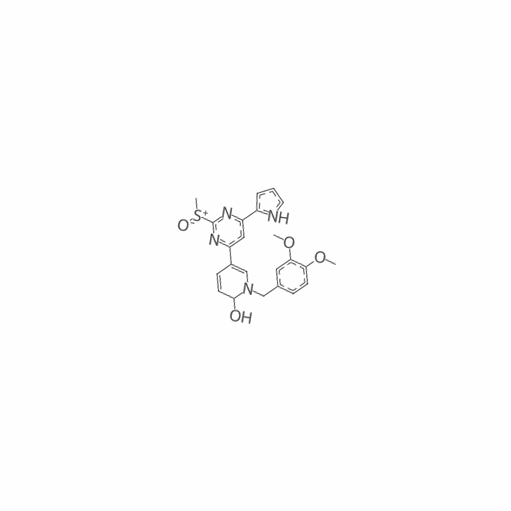 COc1ccc(CN2C=C(c3cc(-c4ccc[nH]4)nc([S+](C)[O-])n3)C=CC2O)cc1OC